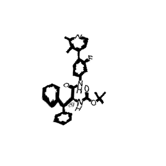 Cc1nccc(-c2ccc(NC(=O)[C@@H](NC(=O)OC(C)(C)C)C(c3ccccc3)c3ccccc3)cc2F)c1C